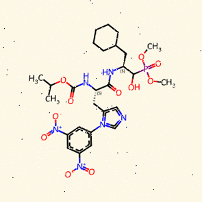 COP(=O)(OC)C(O)[C@H](CC1CCCCC1)NC(=O)[C@H](Cc1cncn1-c1cc([N+](=O)[O-])cc([N+](=O)[O-])c1)NC(=O)OC(C)C